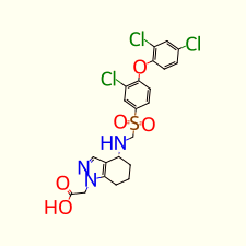 O=C(O)Cn1ncc2c1CCC[C@H]2NCS(=O)(=O)c1ccc(Oc2ccc(Cl)cc2Cl)c(Cl)c1